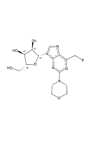 OC[C@H]1O[C@@H](n2cnc3c(CF)nc(N4CCOCC4)nc32)[C@H](O)[C@@H]1O